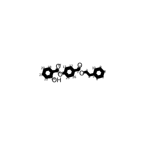 O=C(OCCc1ccccc1)c1ccc(OC(=O)c2ccccc2O)cc1